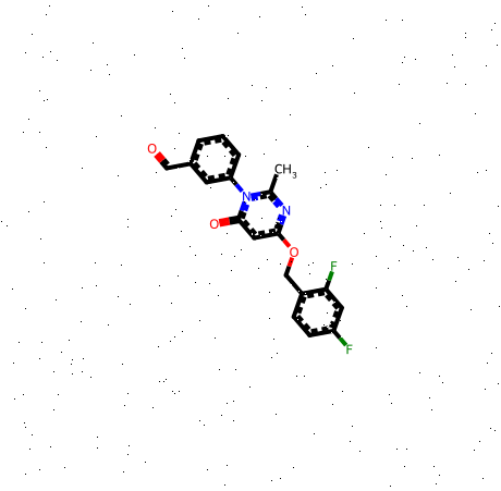 Cc1nc(OCc2ccc(F)cc2F)cc(=O)n1-c1cccc(C=O)c1